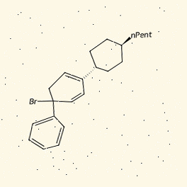 CCCCC[C@H]1CC[C@H](C2=CCC(Br)(c3ccccc3)C=C2)CC1